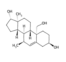 C[C@@H]1C=C2C[C@H](O)CC[C@]2(CO)[C@H]2CC[C@]3(C)[C@@H](O)CC[C@H]3[C@H]12